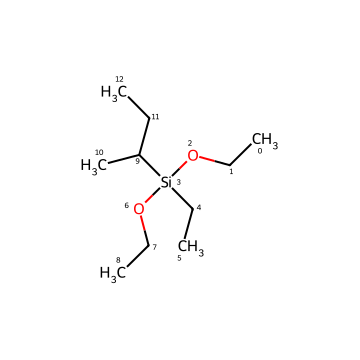 CCO[Si](CC)(OCC)C(C)CC